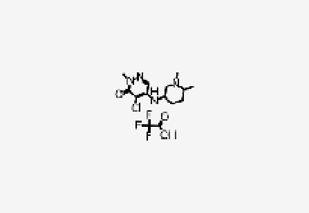 CC1CCC(Nc2cnn(C)c(=O)c2Cl)CN1C.O=C(O)C(F)(F)F